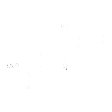 COC(=O)c1ccc(-c2ccccc2C(F)(F)F)nc1